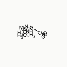 CC(C)(C)Nc1c(-c2ccc(C#Cc3ccc([N+](=O)[O-])cc3)s2)nc2cnccn12